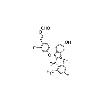 Cc1cc(F)cc(C)c1C(=O)c1sc2cc(O)ccc2c1Oc1ccc(/C=C/OC=O)c(Cl)c1